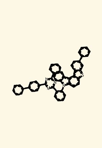 c1ccc(-c2ccc(-c3nc(-c4ccccc4)nc(-c4ccccc4-n4c5ccccc5c5c6c(ccc54)sc4cc(-c5ccccc5)ccc46)n3)cc2)cc1